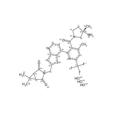 Cc1cc(C(F)(F)F)nc(-c2ccnc3cc(CN4C(=O)C5C(C4=O)C5(C)C)sc23)c1C(=O)N1CC[C@](C)(N)C1.Cl.Cl.Cl